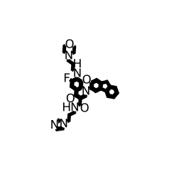 O=C(NCCCn1ccnc1)c1cn2c3c(c(NCCCN4CCOCC4)c(F)cc3c1=O)Oc1cc3c(cc1-2)-c1ccccc1C3